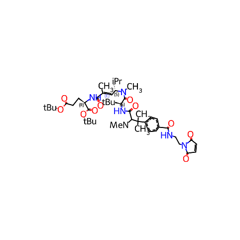 CNC(C(=O)N[C@H](C(=O)N(C)[C@H](/C=C(\C)C(=O)N[C@H](CCC(=O)OC(C)(C)C)C(=O)OC(C)(C)C)C(C)C)C(C)(C)C)C(C)(C)c1ccc(C(=O)NCCN2C(=O)C=CC2=O)cc1